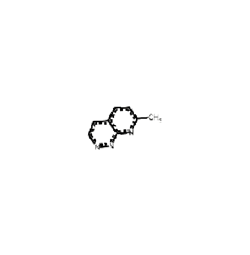 Cc1ccc2ccnnc2n1